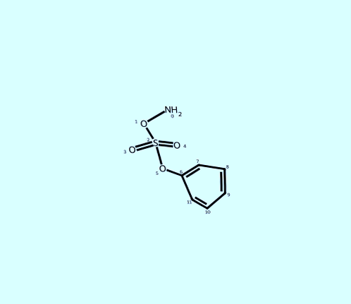 NOS(=O)(=O)Oc1ccccc1